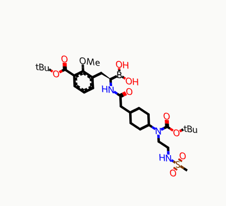 COc1c(C[C@H](NC(=O)CC2CCC(N(CCNS(C)(=O)=O)C(=O)OC(C)(C)C)CC2)B(O)O)cccc1C(=O)OC(C)(C)C